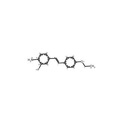 CCOc1ccc(C=Cc2ccc(N)c(F)c2)cc1